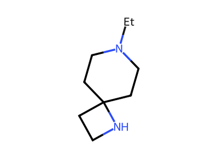 CCN1CCC2(CCN2)CC1